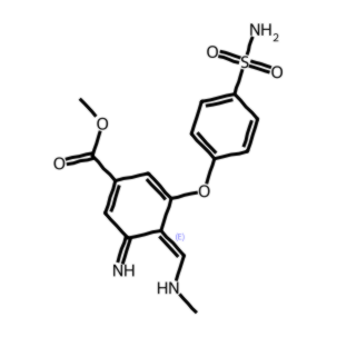 CN/C=C1\C(=N)C=C(C(=O)OC)C=C1Oc1ccc(S(N)(=O)=O)cc1